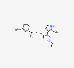 C=CNC/C(=C(\C)CCC[C@@H](CC)c1cccc(CCC)c1)c1cc[nH]c1C(C)CC